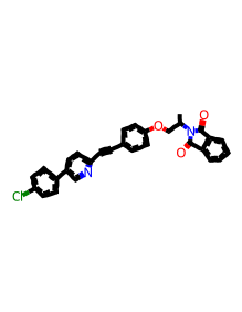 CC(COc1ccc(C#Cc2ccc(-c3ccc(Cl)cc3)cn2)cc1)N1C(=O)c2ccccc2C1=O